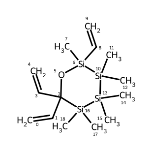 C=CC1(C=C)O[Si](C)(C=C)[Si](C)(C)[Si](C)(C)[Si]1(C)C